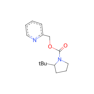 CC(C)(C)C1CCCN1C(=O)OCc1ccccn1